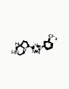 Cc1cccc(-n2nnc([C@H]3CC[C@H]4CNCCN43)n2)c1